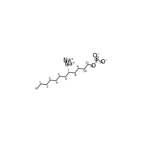 CCCCCCCCCCCCOP([O-])[O-].[Na+].[Na+]